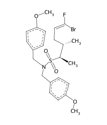 COc1ccc(CN(Cc2ccc(OC)cc2)S(=O)(=O)[C@H](C)[C@@H](C)CC=C(F)Br)cc1